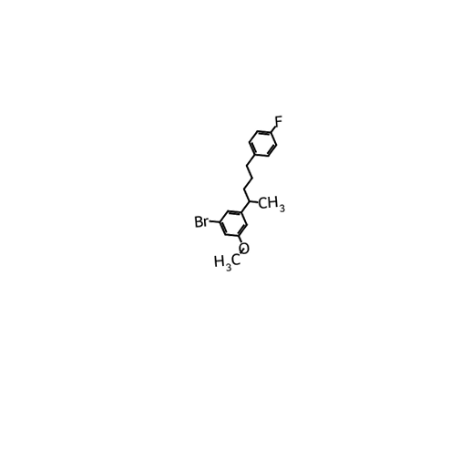 COc1cc(Br)cc(C(C)CCCc2ccc(F)cc2)c1